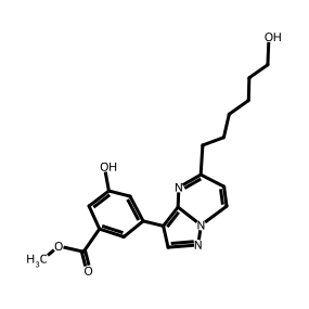 COC(=O)c1cc(O)cc(-c2cnn3ccc(CCCCCCO)nc23)c1